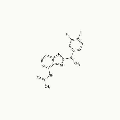 CC(=O)Nc1cccc2nc(N(C)c3ccc(F)c(F)c3)[nH]c12